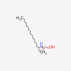 CCCCCCCCCCCCCCCC(CC)NOCCO